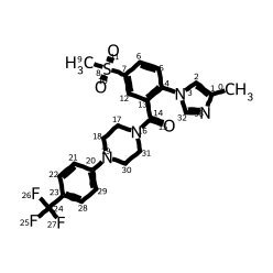 Cc1cn(-c2ccc(S(C)(=O)=O)cc2C(=O)N2CCN(c3ccc(C(F)(F)F)cc3)CC2)cn1